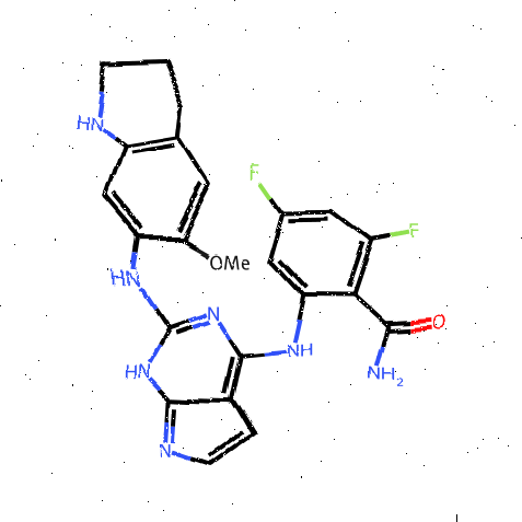 COc1cc2c(cc1Nc1nc(Nc3cc(F)cc(F)c3C(N)=O)c3ccnc-3[nH]1)NCCC2